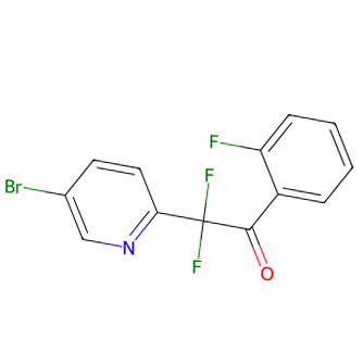 O=C(c1ccccc1F)C(F)(F)c1ccc(Br)cn1